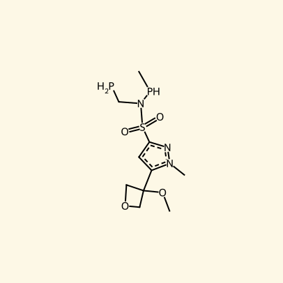 COC1(c2cc(S(=O)(=O)N(CP)PC)nn2C)COC1